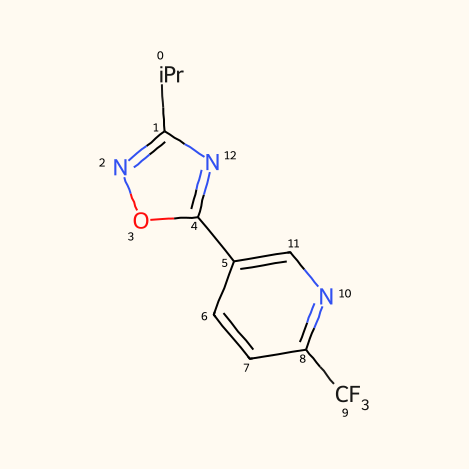 CC(C)c1noc(-c2ccc(C(F)(F)F)nc2)n1